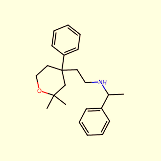 CC(NCCC1(c2ccccc2)CCOC(C)(C)C1)c1ccccc1